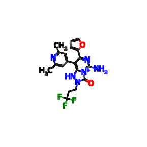 Cc1cc(-c2c(-c3ccco3)nc(N)[n+]3c(=O)n(CCC(F)(F)F)[nH]c23)cc(C)n1